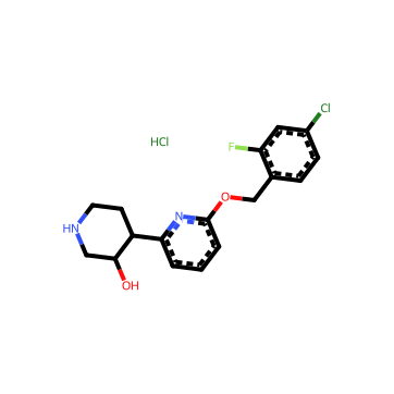 Cl.OC1CNCCC1c1cccc(OCc2ccc(Cl)cc2F)n1